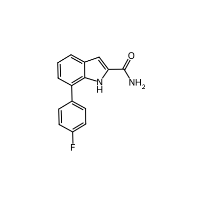 NC(=O)c1cc2cccc(-c3ccc(F)cc3)c2[nH]1